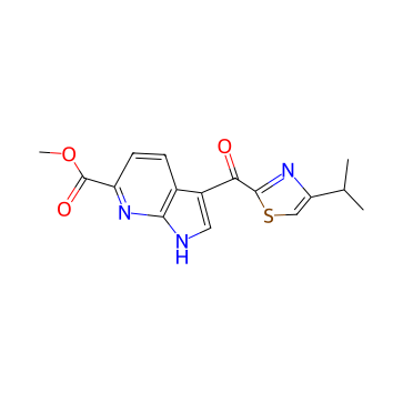 COC(=O)c1ccc2c(C(=O)c3nc(C(C)C)cs3)c[nH]c2n1